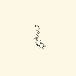 SCCOCC[SH]=C1COc2ccccc2C1